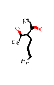 CC=CCC(C(=O)CC)C(=O)CC